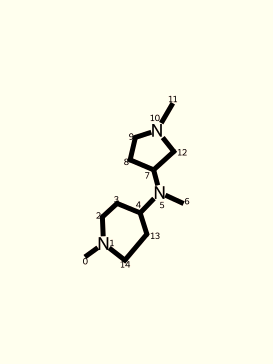 CN1CCC(N(C)C2CCN(C)C2)CC1